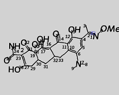 CO/N=C(\C)c1cc(N(C)C)c2c(c1O)C(=O)C1=C(O)[C@]3(O)C(=O)C(C(N)=O)=C(O)CC3CC1C2